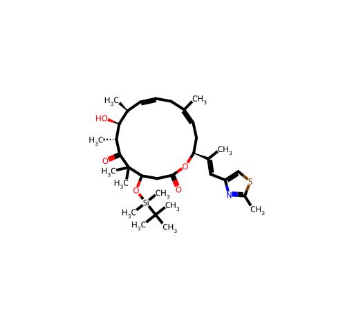 C/C1=C/C[C@@H](/C(C)=C/c2csc(C)n2)OC(=O)CC(O[Si](C)(C)C(C)(C)C)C(C)(C)C(=O)[C@H](C)[C@@H](O)[C@@H](C)/C=C\C1